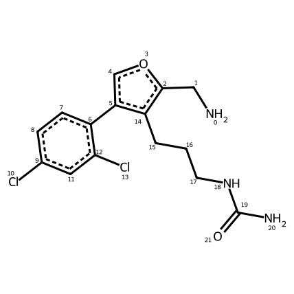 NCc1occ(-c2ccc(Cl)cc2Cl)c1CCCNC(N)=O